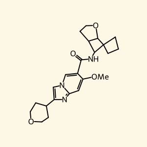 COc1cc2nc(C3CCOCC3)cn2cc1C(=O)NC1C2CCOC2C12CCC2